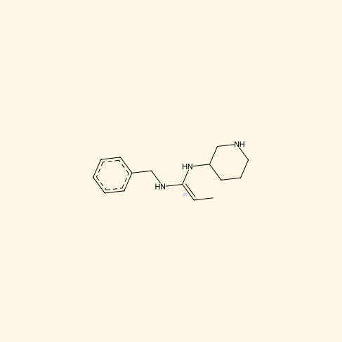 C/C=C(/NCc1ccccc1)NC1CCCNC1